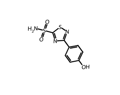 NS(=O)(=O)c1nc(-c2ccc(O)cc2)ns1